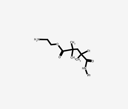 CCC(C)(CC(C)(C)C(=O)OCCN)C(=O)NC(C)C